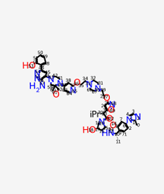 Cc1nccn1-c1ccc([C@H](C)NC(=O)[C@@H]2C[C@@H](O)CN2C(=O)[C@H](c2cc(OCCN3CCN(CCOc4cc(N5CCN(c6cc(-c7ccccc7O)nnc6N)CC56COC6)ccn4)CC3)no2)C(C)C)cc1